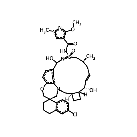 COc1nn(C)cc1C(=O)N[S@@]1(=O)=NC(O)c2ccc3c(c2)N(C[C@@H]2CC[C@H]2[C@@H](O)/C=C/C[C@H](C)C1)C[C@@]1(CCCc2cc(Cl)ccc21)CO3